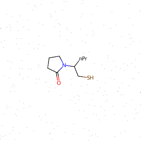 CCCC(CS)N1CCCC1=O